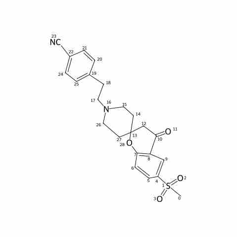 CS(=O)(=O)c1ccc2c(c1)C(=O)CC1(CCN(CCc3ccc(C#N)cc3)CC1)O2